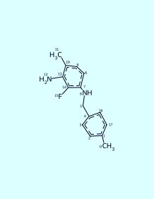 Cc1ccc(CNc2ccc(C)c(N)c2F)cc1